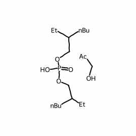 CC(=O)CO.CCCCC(CC)COP(=O)(O)OCC(CC)CCCC